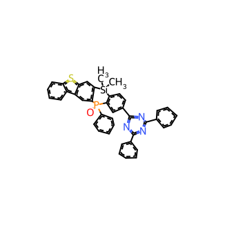 C[Si]1(C)c2ccc(-c3nc(-c4ccccc4)nc(-c4ccccc4)n3)cc2P(=O)(c2ccccc2)c2cc3c(cc21)sc1ccccc13